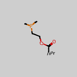 CCCC(=O)OCCP(C)C